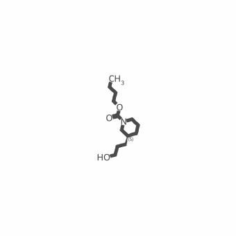 CCCCOC(=O)N1CCC[C@@H](CCCO)C1